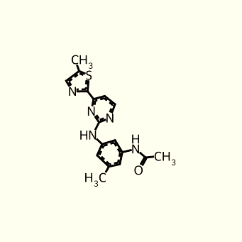 CC(=O)Nc1cc(C)cc(Nc2nccc(-c3ncc(C)s3)n2)c1